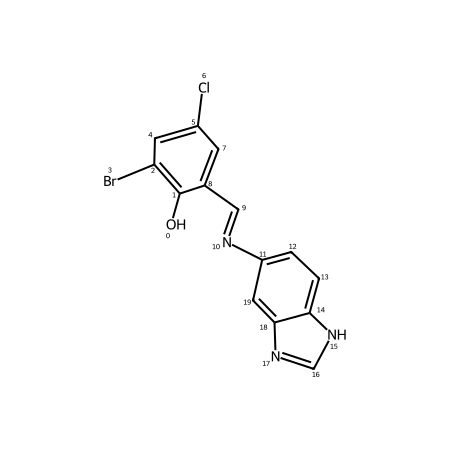 Oc1c(Br)cc(Cl)cc1/C=N/c1ccc2[nH]cnc2c1